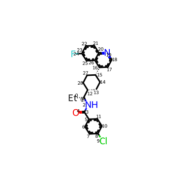 CC[C@@H](NC(=O)c1ccc(Cl)cc1)[C@H]1CC[C@@H](c2ccnc3ccc(F)cc32)CC1